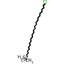 C[Si](C)(Cl)CCCCCCCCCCCCCCCCCCCCCCCCCCCCl